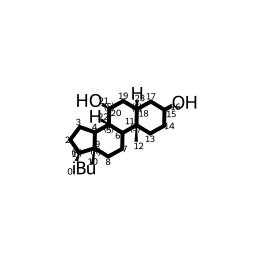 CCC(C)[C@H]1CCC2[C@H]3C(CC[C@@]21C)[C@@]1(C)CCC(O)C[C@H]1C[C@@H]3O